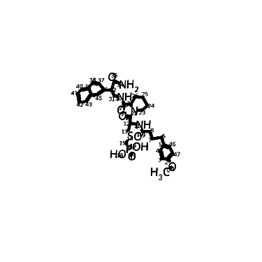 COc1ccc(CCCC(=O)NC(CSCP(=O)(O)O)C(=O)N2CCCCC2C(=O)NCC(C(N)=O)c2ccc3ccccc3c2)cc1